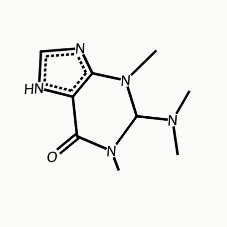 CN(C)C1N(C)C(=O)c2[nH]cnc2N1C